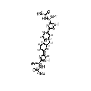 CC(C)[C@H](NC(=O)C(C)(C)C)c1nc(-c2ccc3c(c2)Cc2cc(-c4c[nH]c([C@@H](NC(=O)C(C)(C)C)C(C)C)n4)ccc2-3)c[nH]1